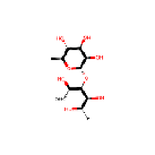 C[C@H](O)[C@H](O)[C@@H](O[C@@H]1O[C@@H](C)[C@H](O)[C@@H](O)[C@H]1O)[C@@H](O)C=O